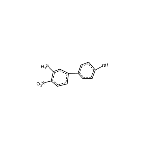 Nc1cc(-c2ccc(O)cc2)ccc1[N+](=O)[O-]